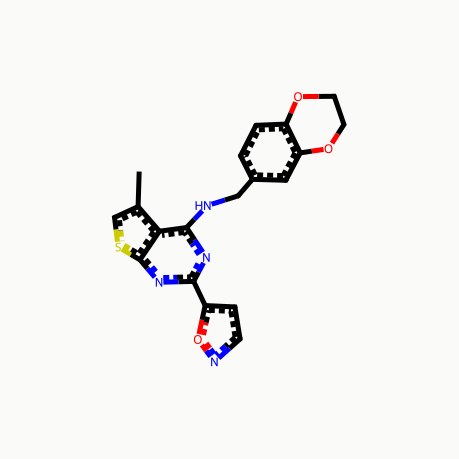 Cc1csc2nc(-c3ccno3)nc(NCc3ccc4c(c3)OCCO4)c12